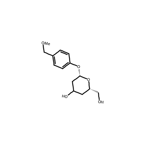 COCc1ccc(O[C@H]2CC(O)C[C@@H](CO)O2)cc1